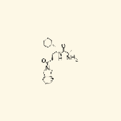 C[C@H](N)C(=O)N[C@H](C=CC(=O)N1Cc2ccccc2C1)CC1CCCCC1